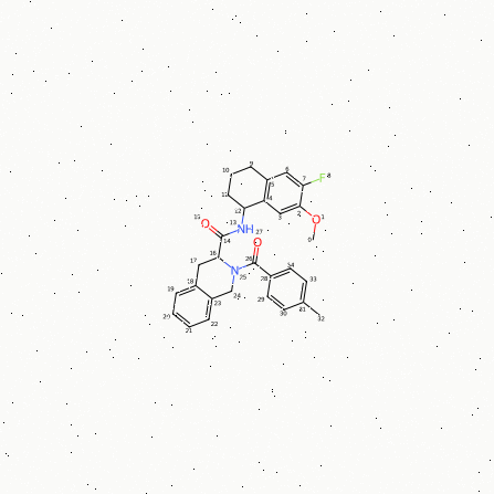 COc1cc2c(cc1F)CCCC2NC(=O)C1Cc2ccccc2CN1C(=O)c1ccc(C)cc1